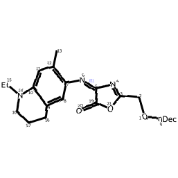 CCCCCCCCCCOCC1=N/C(=N/c2cc3c(cc2C)N(CC)CCC3)C(=O)O1